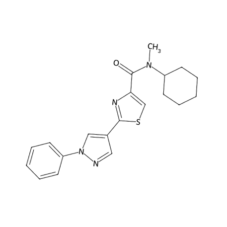 CN(C(=O)c1csc(-c2cnn(-c3ccccc3)c2)n1)C1CCCCC1